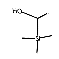 [CH2]C(O)[Si](C)(C)C